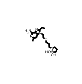 CCc1nc2c(N)nc(C)cc2n1CCOCCCN1CCCS1(O)O